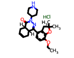 CCOc1ccc(C2=NN(C3CCNCC3)C(=O)[C@H]3CC=CC[C@@H]23)c2c1OC(C)(C)C2.Cl